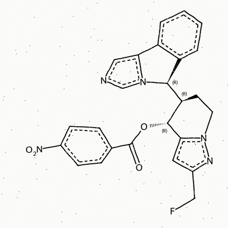 O=C(O[C@H]1c2cc(CF)nn2CC[C@@H]1[C@@H]1c2ccccc2-c2cncn21)c1ccc([N+](=O)[O-])cc1